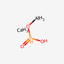 O=[PH](O)[O][AlH2].[CaH2]